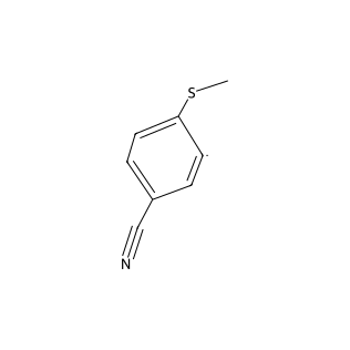 CSc1[c]cc(C#N)cc1